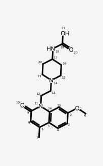 COc1ccc2c(C)cc(=O)n(CCN3CCC(NC(=O)O)CC3)c2c1